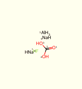 F.O=C(O)O.[AlH3].[NaH].[NaH]